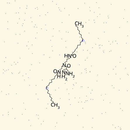 CCCCCCCC/C=C\CCCCCCCC(=O)NCCCCN(CCCNC(=O)CCCCCCC/C=C\CCCCCCCC)C(=O)C(CN)CN